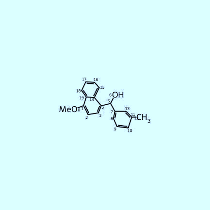 COc1ccc(C(O)c2cccc(C)c2)c2ccccc12